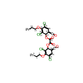 CC(C)CCOC1=C(Cl)C(OC(=O)C(=O)OC2C(=C=O)C=C(Cl)C(OCCC(C)C)=C2Cl)C(=C=O)C=C1Cl